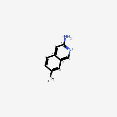 CC(C)c1ccc2cc(N)ncc2c1